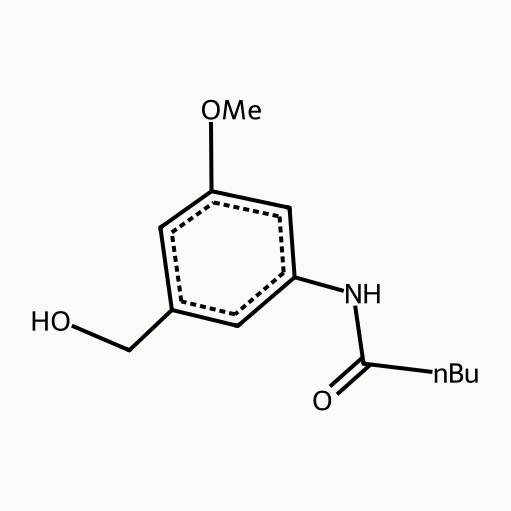 CCCCC(=O)Nc1cc(CO)cc(OC)c1